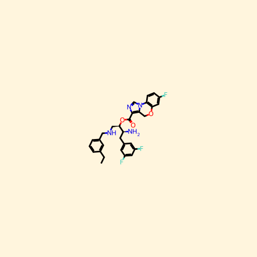 CCc1cccc(CNC[C@@H](OC(=O)c2ncn3c2COc2cc(F)ccc2-3)[C@@H](N)Cc2cc(F)cc(F)c2)c1